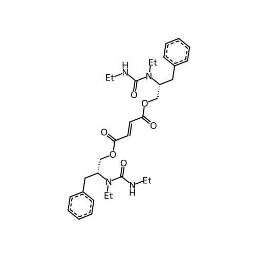 CCNC(=O)N(CC)[C@@H](COC(=O)/C=C/C(=O)OC[C@@H](Cc1ccccc1)N(CC)C(=O)NCC)Cc1ccccc1